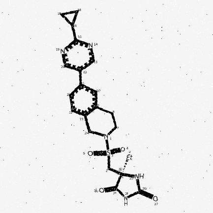 CC[C@]1(CS(=O)(=O)N2CCc3cc(-c4cnc(C5CC5)nc4)ccc3C2)NC(=O)NC1=O